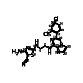 N#Cc1sc(NCCNc2nc(-c3ccc(Cl)cc3Cl)cn3ccnc23)nc1N